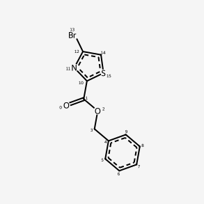 O=C(OCc1ccccc1)c1nc(Br)cs1